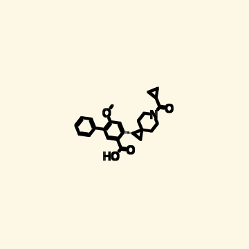 COc1cc([C@H]2CC23CCN(C(=O)C2CC2)CC3)c(C(=O)O)cc1-c1ccccc1